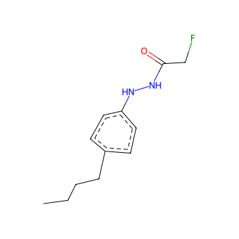 CCCCc1ccc(NNC(=O)CF)cc1